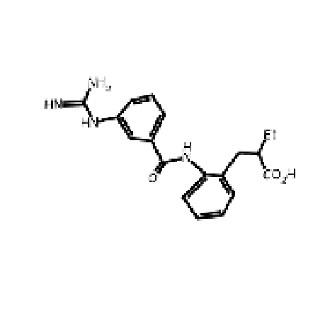 CCC(Cc1ccccc1NC(=O)c1cccc(NC(=N)N)c1)C(=O)O